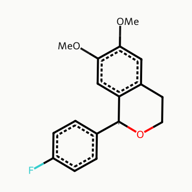 COc1cc2c(cc1OC)[C](c1ccc(F)cc1)OCC2